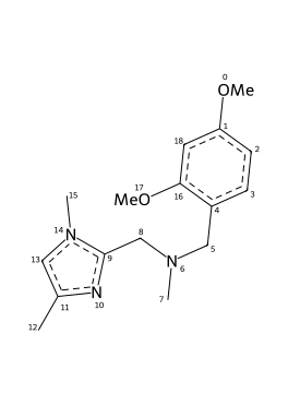 COc1ccc(CN(C)Cc2nc(C)cn2C)c(OC)c1